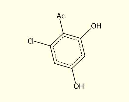 CC(=O)c1c(O)cc(O)cc1Cl